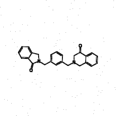 O=C1CN(Cc2cccc(CN3Cc4ccccc4C3=O)c2)Cc2ccccc21